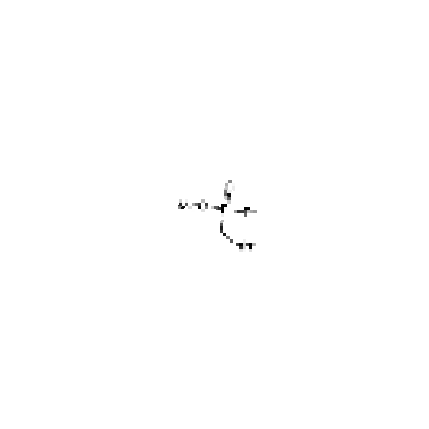 CCCCP(=O)(CC)OC